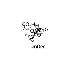 CCCCCCCCCCCCCCCCCC(=O)O.O=P([O-])([O-])O.[Zn+2]